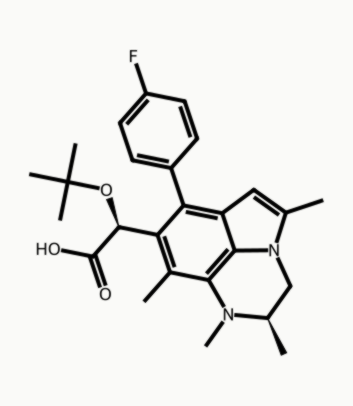 Cc1c([C@H](OC(C)(C)C)C(=O)O)c(-c2ccc(F)cc2)c2cc(C)n3c2c1N(C)[C@H](C)C3